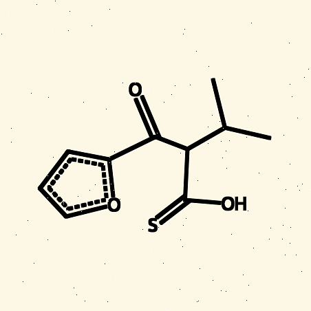 CC(C)C(C(=O)c1ccco1)C(O)=S